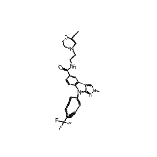 CC1CN(CCNC(=O)c2ccc3c(c2)c2cn(C)nc2n3-c2ccc(C(F)(F)F)cc2)CCO1